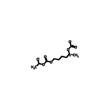 CC(Cl)OC(=O)OCCCC[C@@H](C)O[N+](=O)[O-]